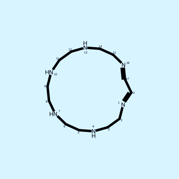 C1=N/CCNCCNCCNCCNCC/N=C/1